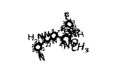 COc1ncc(-c2ccc3nc(N)c(-c4cccc(C#N)c4)cc3c2)cc1NS(=O)(=O)c1ccc(F)cc1F